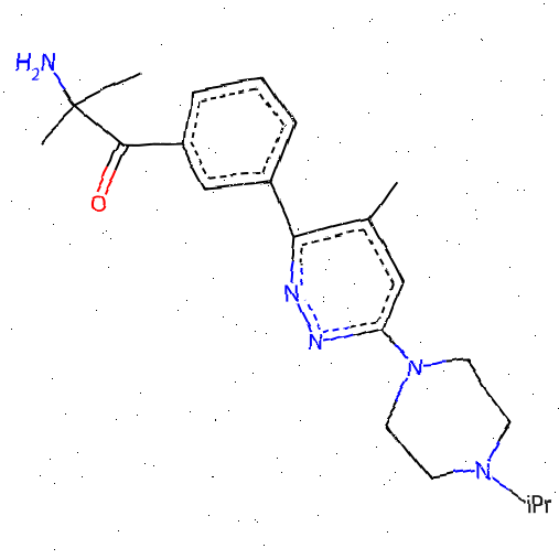 Cc1cc(N2CCN(C(C)C)CC2)nnc1-c1cccc(C(=O)C(C)(C)N)c1